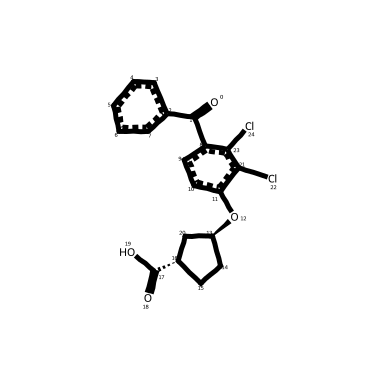 O=C(c1ccccc1)c1ccc(O[C@H]2CC[C@H](C(=O)O)C2)c(Cl)c1Cl